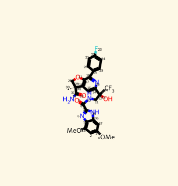 COc1cc(OC)c2nc(C(=O)NCC(O)(c3cc4c(c(-c5ccc(F)cc5)n3)OC[C@]4(C)C(N)=O)C(F)(F)F)[nH]c2c1